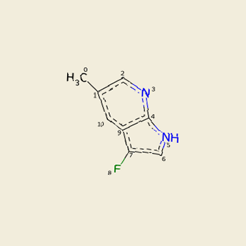 Cc1cnc2[nH]cc(F)c2c1